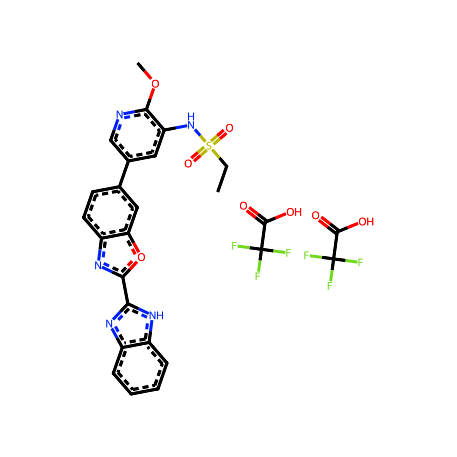 CCS(=O)(=O)Nc1cc(-c2ccc3nc(-c4nc5ccccc5[nH]4)oc3c2)cnc1OC.O=C(O)C(F)(F)F.O=C(O)C(F)(F)F